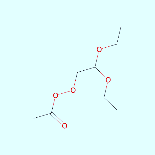 CCOC(COOC(C)=O)OCC